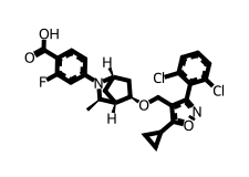 C[C@@H]1[C@@H]2C[C@@H](C[C@H]2OCc2c(-c3c(Cl)cccc3Cl)noc2C2CC2)N1c1ccc(C(=O)O)c(F)c1